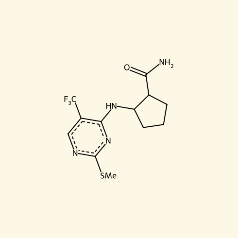 CSc1ncc(C(F)(F)F)c(NC2CCCC2C(N)=O)n1